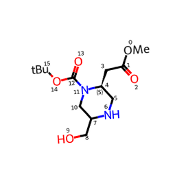 COC(=O)C[C@H]1CNC(CO)CN1C(=O)OC(C)(C)C